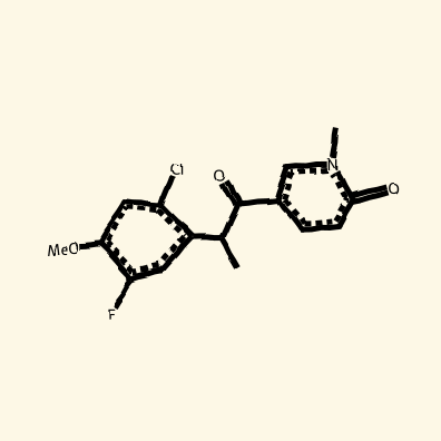 COc1cc(Cl)c(C(C)C(=O)c2ccc(=O)n(C)c2)cc1F